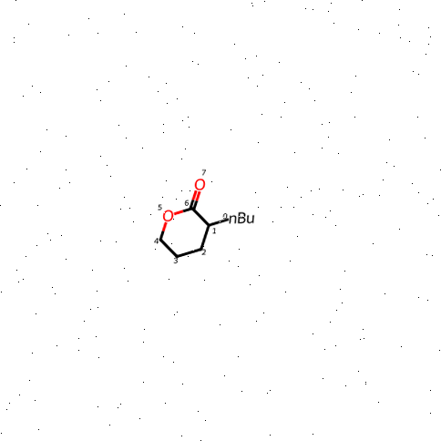 CCCCC1CCCOC1=O